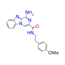 COc1ccc(CCNC(=O)c2cn3c(nc4ccccc43)c(N)n2)cc1